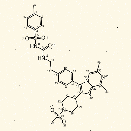 Cc1ccc(S(=O)(=O)NC(=O)NCCc2ccc(-c3c(C4CCN(S(C)(=O)=O)CC4)nc4c(C)nc(C)cn34)cc2)cc1